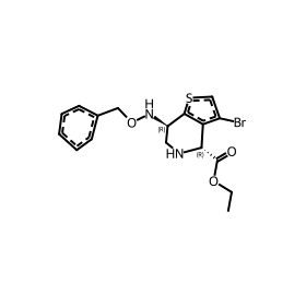 CCOC(=O)[C@@H]1NC[C@@H](NOCc2ccccc2)c2scc(Br)c21